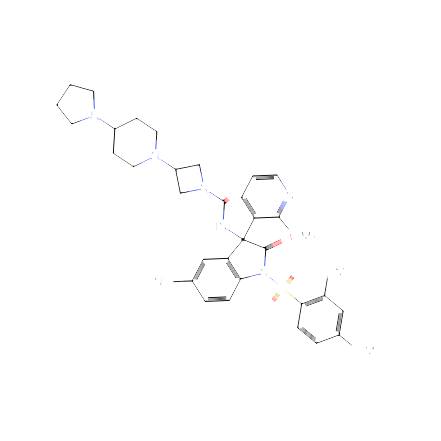 COc1ccc(S(=O)(=O)N2C(=O)C(NC(=O)N3CC(N4CCC(N5CCCC5)CC4)C3)(c3cccnc3OC)c3cc(C#N)ccc32)c(OC)c1